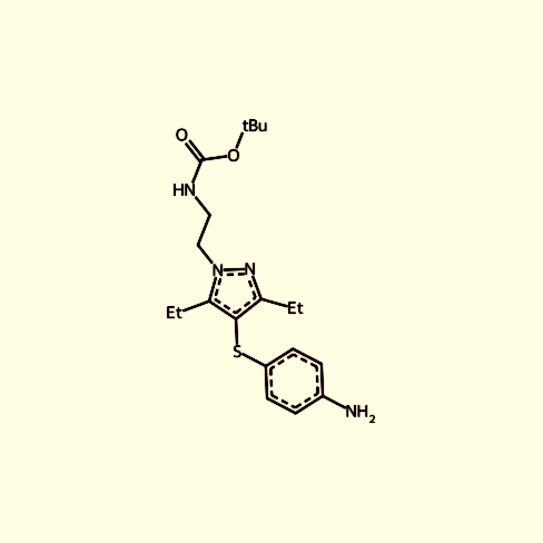 CCc1nn(CCNC(=O)OC(C)(C)C)c(CC)c1Sc1ccc(N)cc1